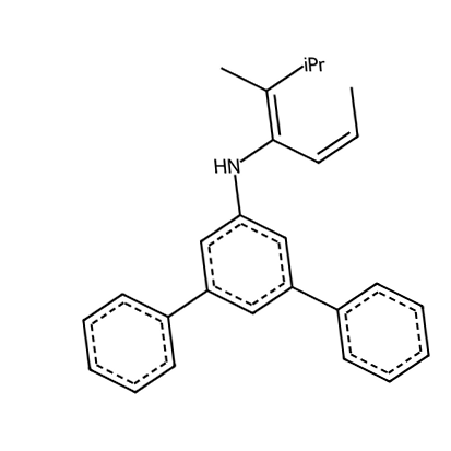 C/C=C\C(Nc1cc(-c2ccccc2)cc(-c2ccccc2)c1)=C(\C)C(C)C